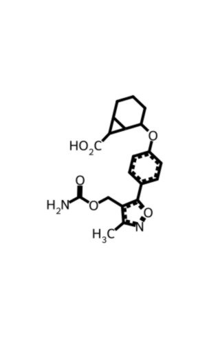 Cc1noc(-c2ccc(OC3CCCC4C(C(=O)O)C34)cc2)c1COC(N)=O